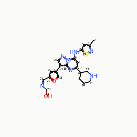 Cc1cc(Nc2cc(C3CCCNC3)nc3c(-c4coc(/C=N\CO)c4)cnn23)sn1